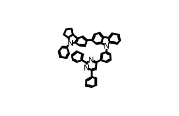 c1ccc(-c2cc(-c3cccc(-n4c5ccccc5c5ccc(-c6ccc7c(c6)C6CCCC6N7c6ccccc6)cc54)c3)nc(-c3ccccc3)n2)cc1